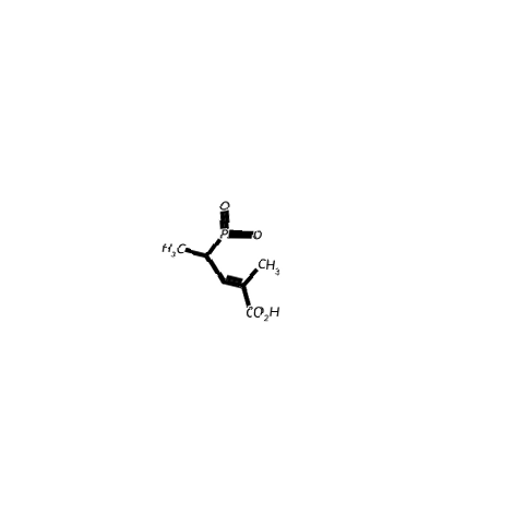 CC(=CC(C)P(=O)=O)C(=O)O